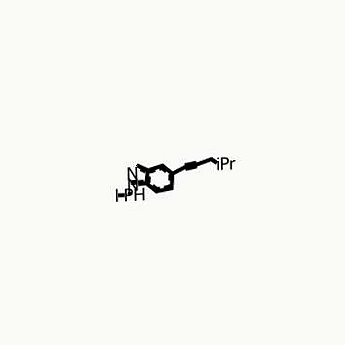 CC(C)CC#Cc1ccc2c(cnn2PI)c1